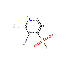 CC(C)c1nccc(S(C)(=O)=O)c1I